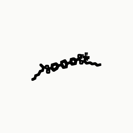 CCCCCCC(C)OC(=O)c1ccc(-c2ccc(-c3ccc(C(=O)OC(CCCCCC)C(F)(F)F)cc3)cc2)cc1